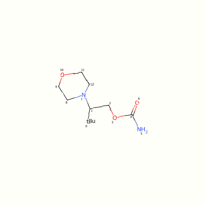 CC(C)(C)C(COC(N)=O)N1CCOCC1